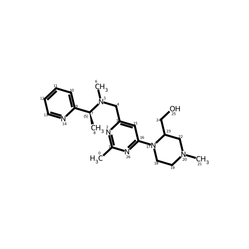 Cc1nc(CN(C)[C@@H](C)c2ccccn2)cc(N2CCN(C)CC2CO)n1